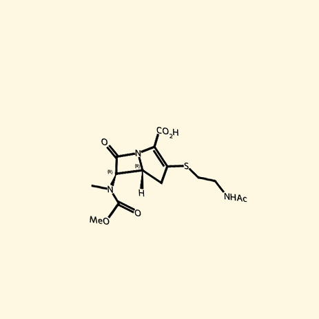 COC(=O)N(C)[C@H]1C(=O)N2C(C(=O)O)=C(SCCNC(C)=O)C[C@H]12